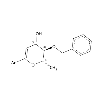 CC(=O)C1=C[C@H](O)[C@@H](OCc2ccccc2)[C@H](C)O1